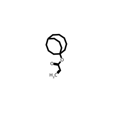 C=CC(=O)OC12CCCCCC(CCC1)CCC2